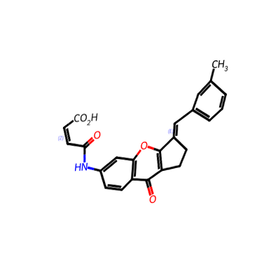 Cc1cccc(/C=C2\CCc3c2oc2cc(NC(=O)/C=C\C(=O)O)ccc2c3=O)c1